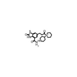 Cn1c(=O)[nH]c2c(C(N)=O)cc(C[CH]C(=O)[N+]3(C4CCNCC4)CCCCC3)cc21